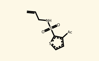 C=CCNS(=O)(=O)c1sccc1C(C)=O